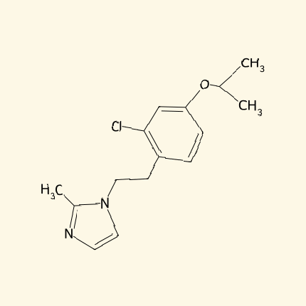 Cc1nccn1CCc1ccc(OC(C)C)cc1Cl